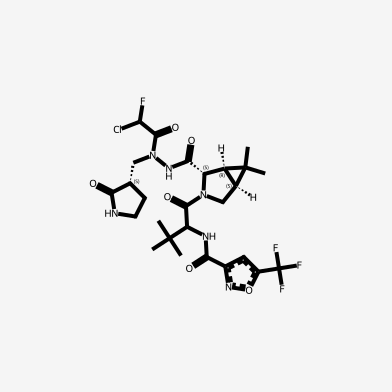 CC(C)(C)C(NC(=O)c1cc(C(F)(F)F)on1)C(=O)N1C[C@H]2[C@@H]([C@H]1C(=O)NN(C[C@@H]1CCNC1=O)C(=O)C(F)Cl)C2(C)C